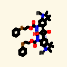 CC(C)N1c2cc(NC(=O)OCCSc3ccccc3)c(C3=C(O)/C(=c4/cc5c(cc4NC(=O)OCCSc4ccccc4)=[N+](C(C)C)C(C)C5(C)C)C3=O)cc2C(C)(C)C1C